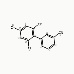 N#Cc1cccc(-c2c(Cl)nc(Cl)nc2Cl)c1